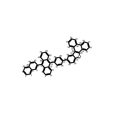 c1ccc2cc(-c3c4ccccc4c(-c4ccc(-c5ccc6oc7c8ccccc8c8ccccc8c7c6c5)cc4)c4ccccc34)ccc2c1